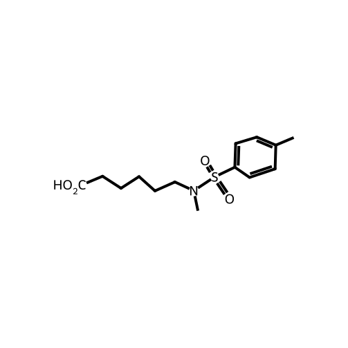 Cc1ccc(S(=O)(=O)N(C)CCCCCC(=O)O)cc1